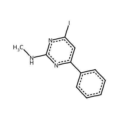 CNc1nc(I)cc(-c2ccccc2)n1